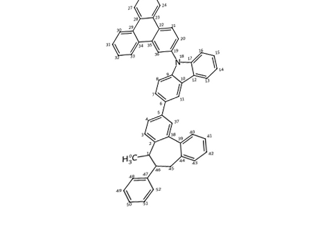 CC1c2ccc(-c3ccc4c(c3)c3ccccc3n4-c3ccc4c5ccccc5c5ccccc5c4c3)cc2-c2ccccc2CC1c1ccccc1